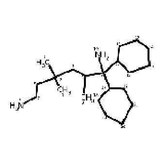 CC(CC(C)(C)CCN)C(N)(C1CCCCC1)C1CCCCC1